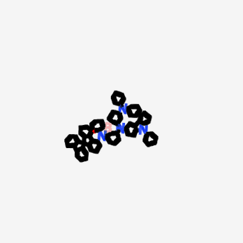 c1ccc(N(c2ccccc2)c2ccc3c(c2)N(c2ccc4c(c2)c2ccccc2n4-c2ccccc2)c2cccc4c2B3c2ccccc2N4c2cccc3c2-c2ccccc2C32c3ccccc3-c3ccccc32)cc1